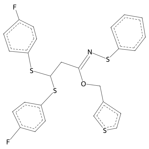 Fc1ccc(SC(C/C(=N/Sc2ccccc2)OCc2ccsc2)Sc2ccc(F)cc2)cc1